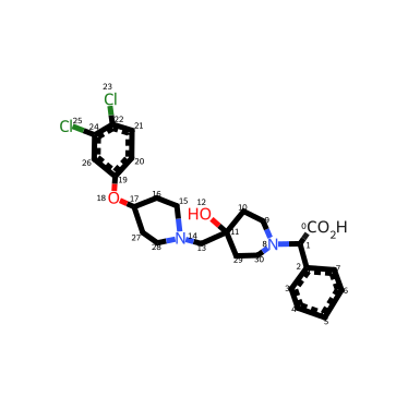 O=C(O)C(c1ccccc1)N1CCC(O)(CN2CCC(Oc3ccc(Cl)c(Cl)c3)CC2)CC1